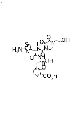 Nc1nc(C(NC(=O)N2CCN(CCO)C(=O)C2=O)C(=O)N[C@H]2Cc3cccc(C(=O)O)c3OB2O)cs1